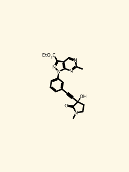 CCOC(=O)c1nn(-c2cccc(C#C[C@]3(O)CCN(C)C3=O)c2)c2nc(C)ncc12